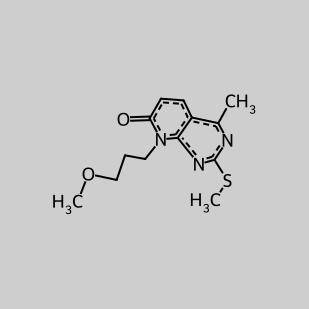 COCCCn1c(=O)ccc2c(C)nc(SC)nc21